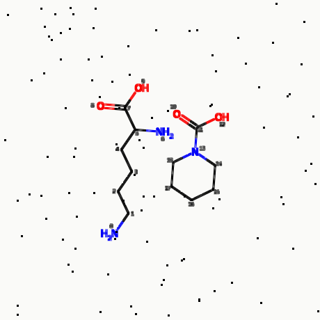 NCCCCC(N)C(=O)O.O=C(O)N1CCCCC1